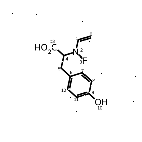 C=CN(F)C(Cc1ccc(O)cc1)C(=O)O